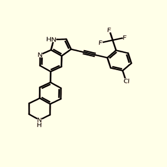 FC(F)(F)c1ccc(Cl)cc1C#Cc1c[nH]c2ncc(-c3ccc4c(c3)CCNC4)cc12